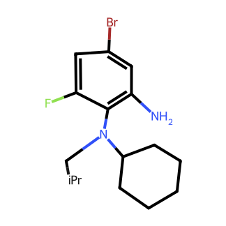 CC(C)CN(c1c(N)cc(Br)cc1F)C1CCCCC1